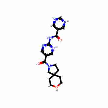 O=C(Nc1ncc(C(=O)N2CCC3(CCOCC3)C2)cn1)c1cncnc1